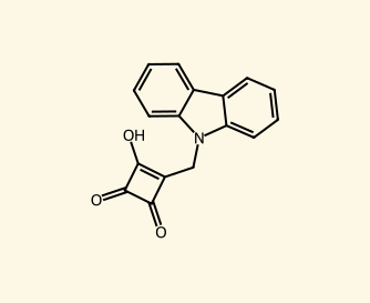 O=c1c(O)c(Cn2c3ccccc3c3ccccc32)c1=O